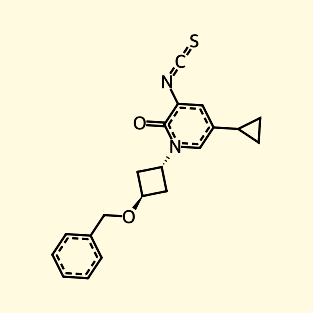 O=c1c(N=C=S)cc(C2CC2)cn1[C@H]1C[C@H](OCc2ccccc2)C1